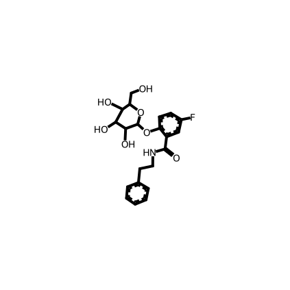 O=C(NCCc1ccccc1)c1cc(F)ccc1OC1OC(CO)C(O)C(O)C1O